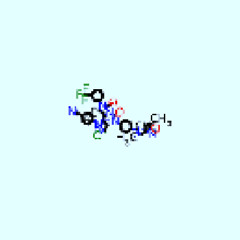 Cc1cc(C[N+](C)(C)C2CCC(NC(=O)n3c(-c4ccnn4-c4ccc(C#N)cc4)c(C)n(-c4cccc(C(F)(F)F)c4)c3=O)CC2)no1.[Cl-]